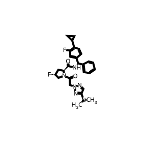 CN(C)c1cnn(CC(=O)N2C[C@H](F)C[C@H]2C(=O)N[C@@H](c2ccccc2)c2ccc(C3CC3)c(F)c2)n1